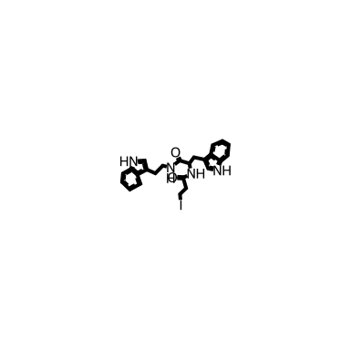 O=C(CCI)NC(Cc1c[nH]c2ccccc12)C(=O)NCCc1c[nH]c2ccccc12